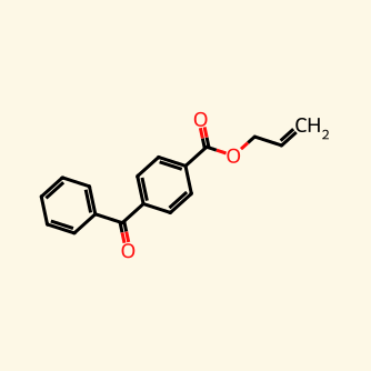 C=CCOC(=O)c1ccc(C(=O)c2ccccc2)cc1